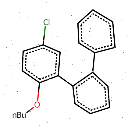 CCCCOc1ccc(Cl)cc1-c1ccccc1-c1ccccc1